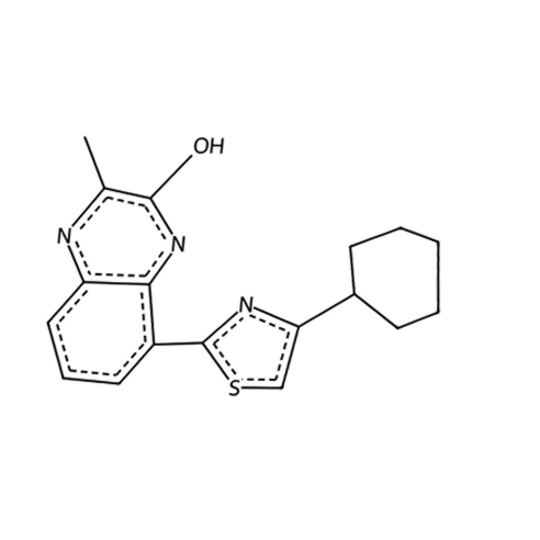 Cc1nc2cccc(-c3nc(C4CCCCC4)cs3)c2nc1O